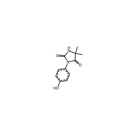 CC1(C)NC(=O)N(c2ccc(O)cc2)C1=O